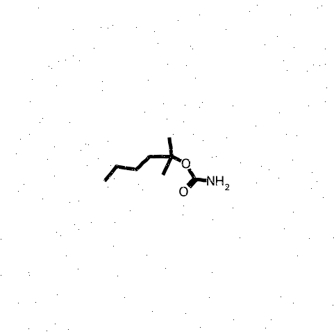 CCCCC(C)(C)OC(N)=O